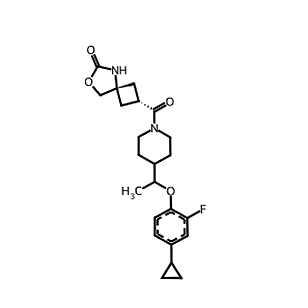 CC(Oc1ccc(C2CC2)cc1F)C1CCN(C(=O)[C@H]2C[C@]3(COC(=O)N3)C2)CC1